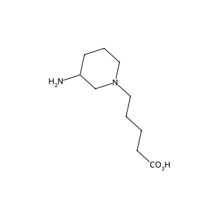 NC1CCCN(CCCCC(=O)O)C1